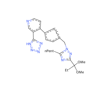 CCCCCc1nc(C(CC)(OC)OC)nn1Cc1ccc(-c2ccncc2-c2nnn[nH]2)cc1